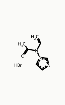 Br.C=CN(C(C)=O)n1ccnc1